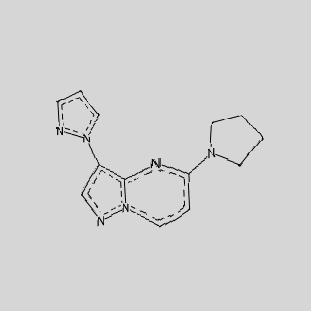 c1cnn(-c2cnn3ccc(N4CCCC4)nc23)c1